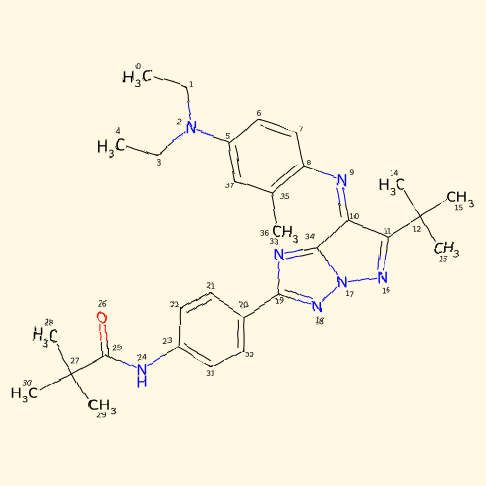 CCN(CC)c1ccc(/N=C2/C(C(C)(C)C)=Nn3nc(-c4ccc(NC(=O)C(C)(C)C)cc4)nc32)c(C)c1